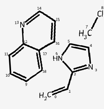 C=Cc1ncc[nH]1.CCl.c1ccc2ncccc2c1